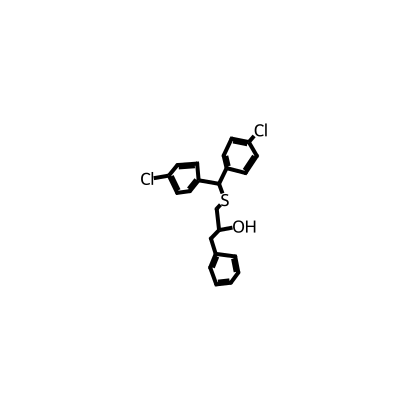 OC(CSC(c1ccc(Cl)cc1)c1ccc(Cl)cc1)Cc1ccccc1